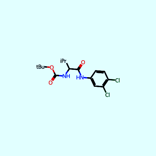 CC(C)C(NC(=O)OC(C)(C)C)C(=O)Nc1ccc(Cl)c(Cl)c1